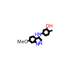 COc1ccc2c(Nc3ccc(C)c(O)c3)cnnc2c1